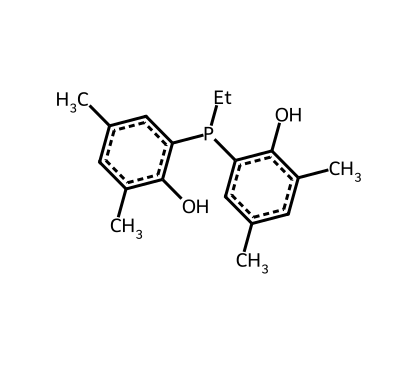 CCP(c1cc(C)cc(C)c1O)c1cc(C)cc(C)c1O